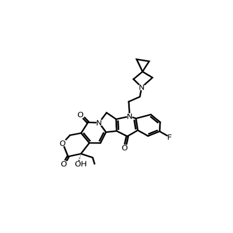 CC[C@@]1(O)C(=O)OCc2c1cc1n(c2=O)Cc2c-1c(=O)c1cc(F)ccc1n2CCN1CC2(CC2)C1